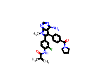 C=C(C)C(=O)Nc1ccc(-c2c(-c3ccc(C(=O)N4CCCC4)cc3)c3c(N)ncnc3n2C)cc1F